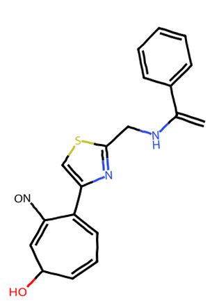 C=C(NCc1nc(C2=CC=CC(O)C=C2N=O)cs1)c1ccccc1